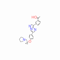 C[C@H](O)c1cccc(-c2cnn3cc(-c4ccc(OC5(CN6CCCCC6)CC5)cc4)cnc23)c1